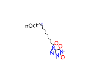 CCCCCCCC/C=C\CCCCCCCC(=O)n1cnc2c1c(=O)n(C)c(=O)n2C